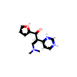 CN(C)/C=C(/C(=O)c1ccco1)c1ccncn1